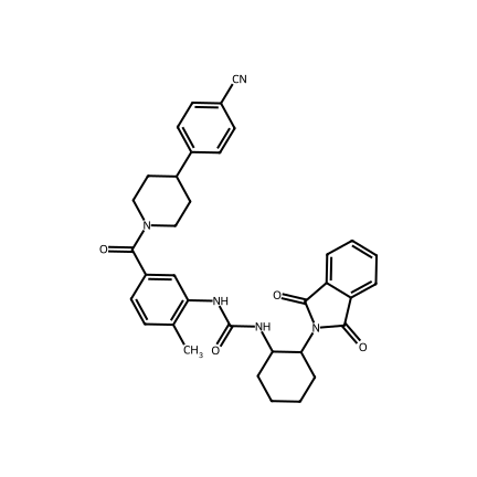 Cc1ccc(C(=O)N2CCC(c3ccc(C#N)cc3)CC2)cc1NC(=O)NC1CCCCC1N1C(=O)c2ccccc2C1=O